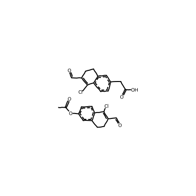 CC(=O)Oc1ccc2c(c1)CCC(C=O)=C2Cl.O=CC1=C(Cl)c2ccc(CC(=O)O)cc2CC1